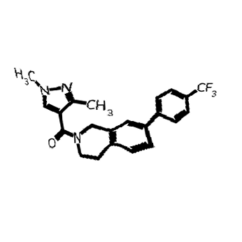 Cc1nn(C)cc1C(=O)N1CCc2ccc(-c3ccc(C(F)(F)F)cc3)cc2C1